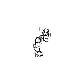 CC(=O)NC1C[C@H]2CC[C@@H](C1)N2CCc1ccc(Oc2nc3ncccc3s2)cc1